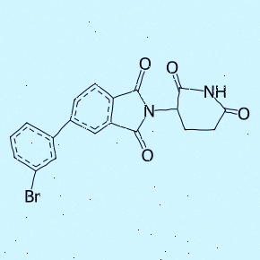 O=C1CCC(N2C(=O)c3ccc(-c4cccc(Br)c4)cc3C2=O)C(=O)N1